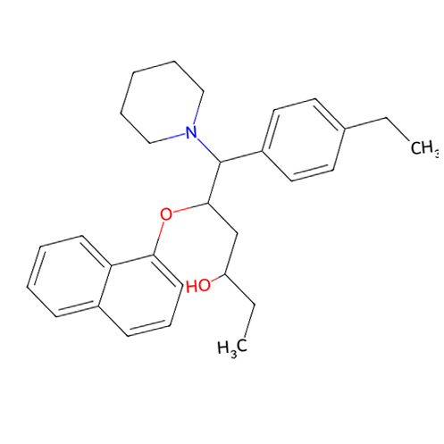 CCc1ccc(C(C(CC(O)CC)Oc2cccc3ccccc23)N2CCCCC2)cc1